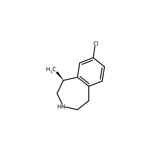 C[C@@H]1CNCCc2ccc(Cl)cc21